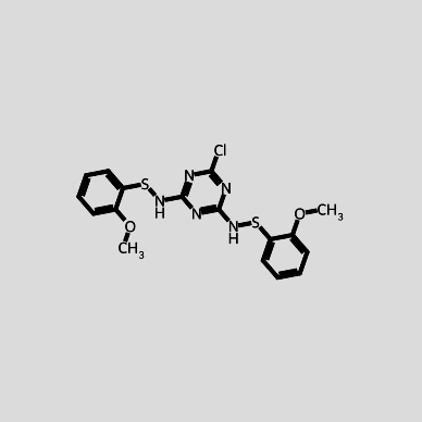 COc1ccccc1SNc1nc(Cl)nc(NSc2ccccc2OC)n1